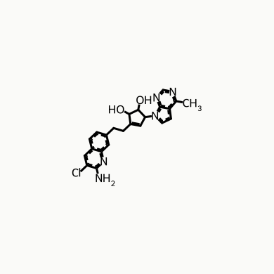 Cc1ncnc2c1ccn2C1C=C(CCc2ccc3cc(Cl)c(N)nc3c2)C(O)C1O